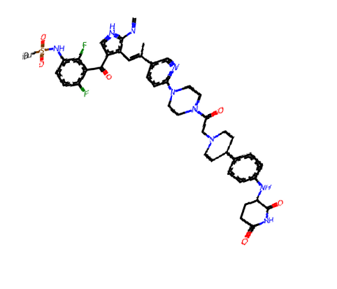 C=Nc1[nH]cc(C(=O)c2c(F)ccc(NS(=O)(=O)C(C)CC)c2F)c1/C=C(\C)c1ccc(N2CCN(C(=O)CN3CCC(c4ccc(NC5CCC(=O)NC5=O)cc4)CC3)CC2)nc1